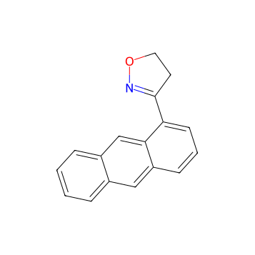 c1ccc2cc3c(C4=NOCC4)cccc3cc2c1